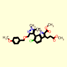 COC(=O)CCc1c(C(=O)OC)n(C)c2c(-c3c(COCc4ccc(OC)cc4)nn(C)c3C)c(Cl)ccc12